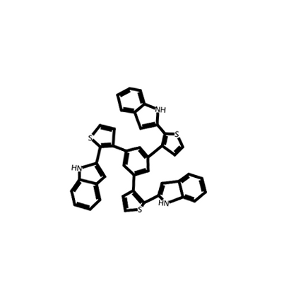 c1ccc2[nH]c(-c3sccc3-c3cc(-c4ccsc4-c4cc5ccccc5[nH]4)cc(-c4ccsc4-c4cc5ccccc5[nH]4)c3)cc2c1